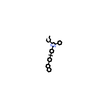 C=C/C=C(\C=C/C)c1cc(-c2ccccc2)nc(-c2ccc(C(C)(C)c3ccc(-c4ccc5ccccc5c4)cc3)cc2)n1